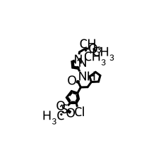 COC(C)(C)Cn1ccc(NC(=O)C(CC2CCCC2)c2ccc(S(C)(=O)=O)c(Cl)c2)n1